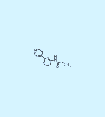 CCC(=O)Nc1cccc(-c2ccncc2)c1